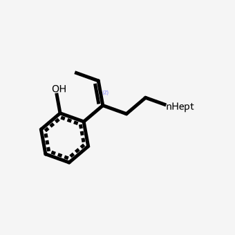 C/C=C(/CCCCCCCCC)c1ccccc1O